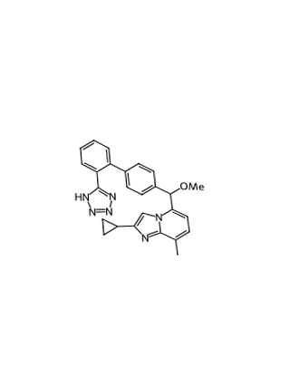 COC(c1ccc(-c2ccccc2-c2nnn[nH]2)cc1)c1ccc(C)c2nc(C3CC3)cn12